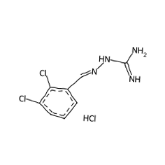 Cl.N=C(N)NN=Cc1cccc(Cl)c1Cl